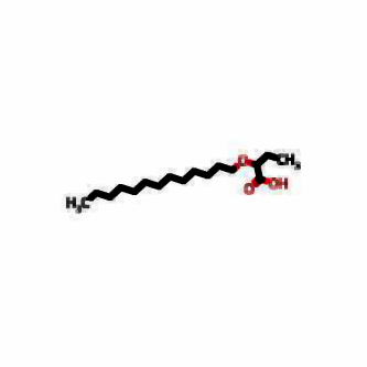 CCCCCCCCCCCCCOC(CC)C(=O)O